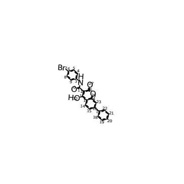 O=C(Nc1ccc(Br)cc1)c1c(O)c2ccc(-c3ccccc3)cc2oc1=O